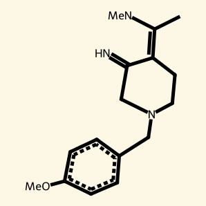 CN/C(C)=C1/CCN(Cc2ccc(OC)cc2)CC1=N